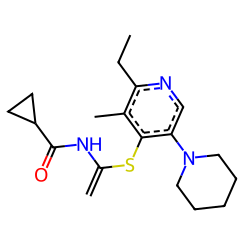 C=C(NC(=O)C1CC1)Sc1c(N2CCCCC2)cnc(CC)c1C